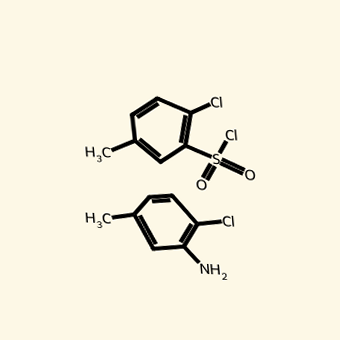 Cc1ccc(Cl)c(N)c1.Cc1ccc(Cl)c(S(=O)(=O)Cl)c1